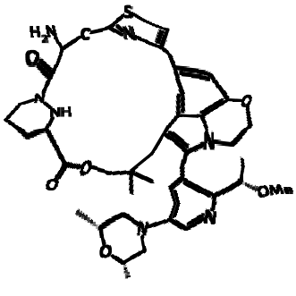 CO[C@@H](C)c1ncc(N2C[C@@H](C)O[C@@H](C)C2)cc1-c1c2c3cc(cc4c3n1CCO4)-c1csc(n1)CC(N)C(=O)N1CCCC(N1)C(=O)OCC(C)(C)C2